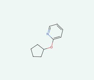 [c]1ccc(OC2CCCC2)nc1